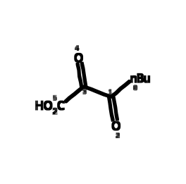 CCCCC(=O)C(=O)C(=O)O